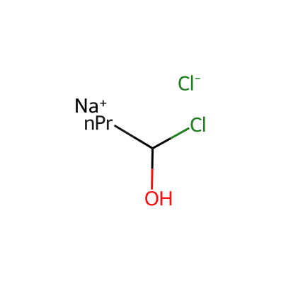 CCCC(O)Cl.[Cl-].[Na+]